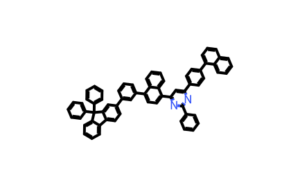 c1ccc(-c2nc(-c3ccc(-c4cccc5ccccc45)cc3)cc(-c3ccc(-c4cccc(-c5ccc6c(c5)C(c5ccccc5)(c5ccccc5)c5ccccc5-6)c4)c4ccccc34)n2)cc1